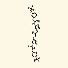 O=C(NCc1ccc(C(F)(F)I)cn1)c1cn(CCC(F)Cn2cc(NC(O)Cc3cccc(OC(F)(F)F)c3)nn2)nn1